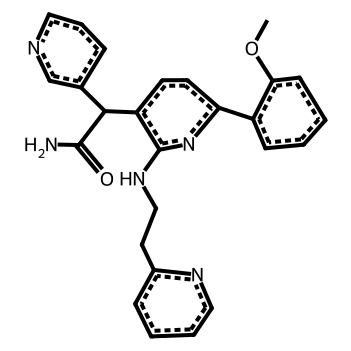 COc1ccccc1-c1ccc(C(C(N)=O)c2cccnc2)c(NCCc2ccccn2)n1